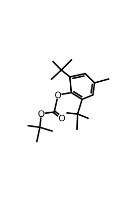 Cc1cc(C(C)(C)C)c(OC(=O)OC(C)(C)C)c(C(C)(C)C)c1